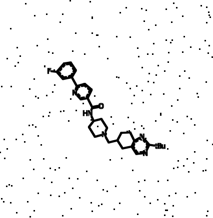 CC(C)(C)c1ncc2c(n1)CCC(CN1CCC(NC(=O)c3ccc(-c4cccc(F)c4)nc3)CC1)C2